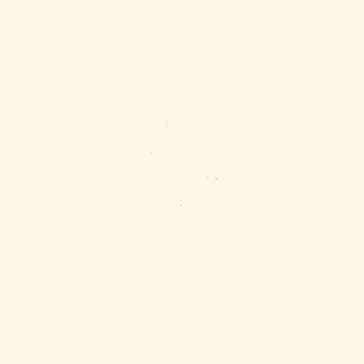 CC(C)CC(=O)c1ccc(Br)cc1O